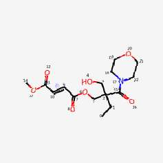 CCC(CO)(COC(=O)/C=C/C(=O)OC)C(=O)N1CCOCC1